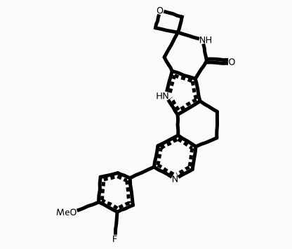 COc1ccc(-c2cc3c(cn2)CCc2c-3[nH]c3c2C(=O)NC2(COC2)C3)cc1F